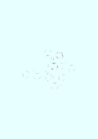 c1ccc(-c2ccc(-c3nc(-c4ccc5c(c4)oc4ccccc45)nc(-c4cccc5oc6ccc(-c7ccc(-c8cccc9c%10ccccc%10n(-c%10ccccc%10)c89)c8oc9ccccc9c78)cc6c45)n3)cc2)cc1